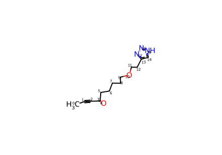 CC#CC(=O)CCCCCOCCc1c[nH]nn1